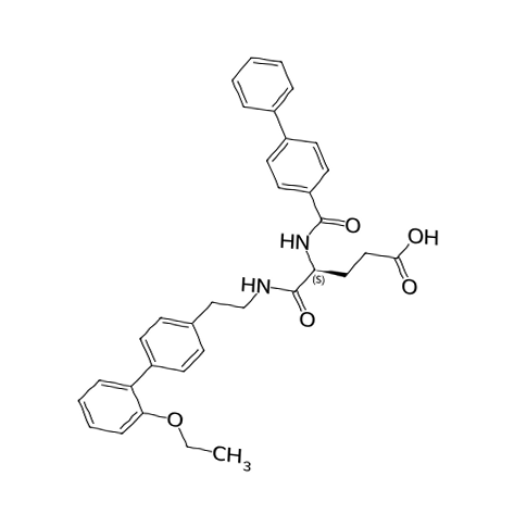 CCOc1ccccc1-c1ccc(CCNC(=O)[C@H](CCC(=O)O)NC(=O)c2ccc(-c3ccccc3)cc2)cc1